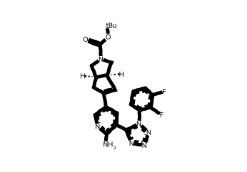 CC(C)(C)OC(=O)N1C[C@@H]2CC(c3cnc(N)c(-c4nnnn4-c4cccc(F)c4F)c3)=C[C@@H]2C1